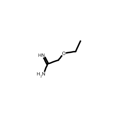 CCOCC(=N)N